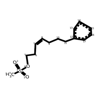 CS(=O)(=O)OCC/C=C\CCCc1ccccc1